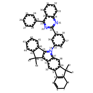 CC1(C)C2=C(C=CCC2)c2cc3c4c(n(-c5cccc(-c6nc(-c7ccccc7)c7ccccc7n6)c5)c3cc21)-c1ccccc1C4(C)C